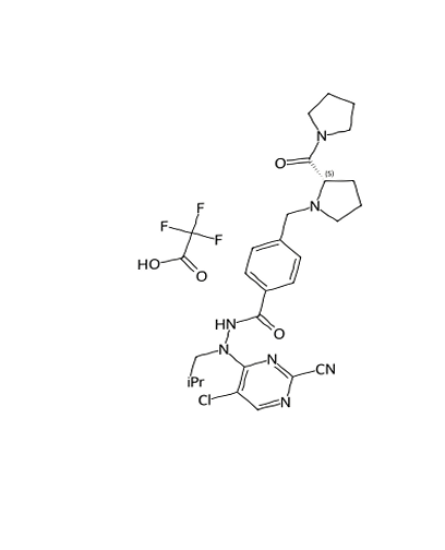 CC(C)CN(NC(=O)c1ccc(CN2CCC[C@H]2C(=O)N2CCCC2)cc1)c1nc(C#N)ncc1Cl.O=C(O)C(F)(F)F